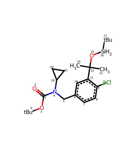 CC(C)(C)OC(=O)N(Cc1ccc(Cl)c(C(C)(C)O[SiH2]C(C)(C)C)c1)C1CC1